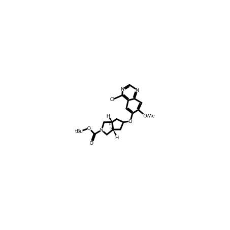 COc1cc2ncnc(Cl)c2cc1OC1C[C@@H]2CN(C(=O)OC(C)(C)C)C[C@@H]2C1